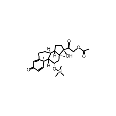 CC(=O)OCC(=O)[C@@]1(O)CC[C@H]2[C@@H]3CCC4=CC(=O)C=C[C@]4(C)[C@H]3[C@@H](O[Si](C)(C)C)C[C@@]21C